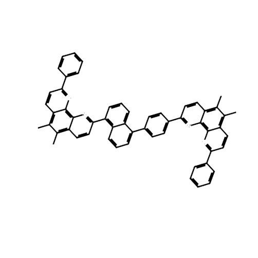 Cc1c(C)c2ccc(-c3ccc(-c4cccc5c(-c6ccc7c(C)c(C)c8ccc(-c9ccccc9)nc8c7n6)cccc45)cc3)nc2c2nc(-c3ccccc3)ccc12